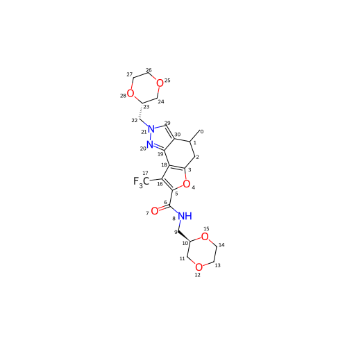 CC1Cc2oc(C(=O)NC[C@@H]3COCCO3)c(C(F)(F)F)c2-c2nn(C[C@H]3COCCO3)cc21